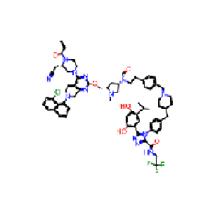 C=CC(=O)N1CCN(c2nc(OC[C@@H]3C[C@H](N(C=O)CCc4ccc(CN5CCC(Cc6ccc(-n7c(C(=O)NCC(F)(F)F)nnc7-c7cc(C(C)C)c(O)cc7O)cc6)CC5)cc4)CN3C)nc3c2CCN(c2cccc4cccc(Cl)c24)C3)C[C@@H]1CC#N